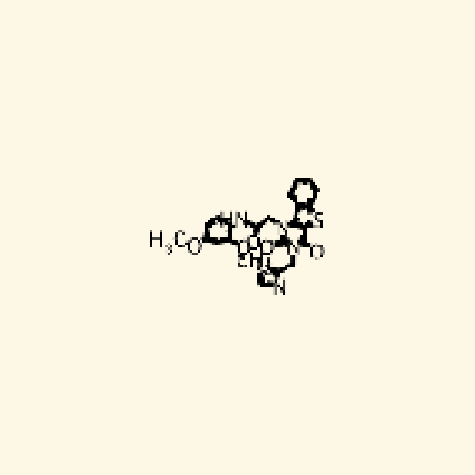 COc1ccc(NC(=O)Cn2c(=O)n(Cc3ncco3)c(=O)c3sc4ccccc4c32)c(OC)c1